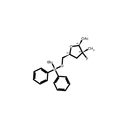 CC(=O)O[C@@H]1O[C@H](CO[Si](c2ccccc2)(c2ccccc2)C(C)(C)C)C[C@@]1(C)F